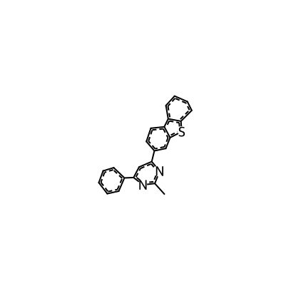 Cc1nc(-c2ccccc2)cc(-c2ccc3c(c2)sc2ccccc23)n1